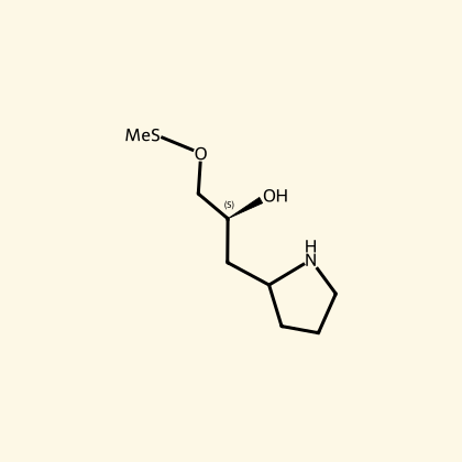 CSOC[C@@H](O)CC1CCCN1